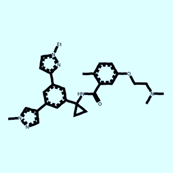 CCn1ccc(-c2cc(-c3cnn(C)c3)cc(C3(NC(=O)c4cc(OCCN(C)C)ccc4C)CC3)c2)n1